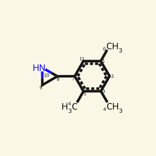 Cc1cc(C)c(C)c(C2CN2)c1